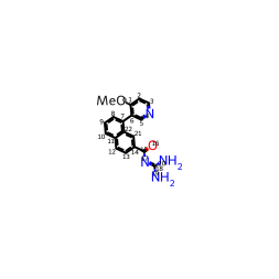 COc1ccncc1-c1cccc2ccc(C(=O)N=C(N)N)cc12